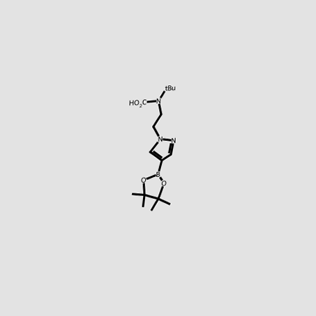 CC(C)(C)N(CCn1cc(B2OC(C)(C)C(C)(C)O2)cn1)C(=O)O